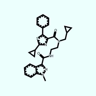 Cn1nc(C(=O)NCCN(CC2CC2)C(=O)c2nc(C3CC3)sc2-c2ccccc2)c2ccccc21